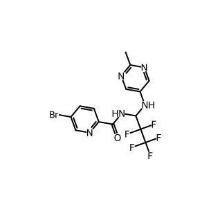 Cc1ncc(NC(NC(=O)c2ccc(Br)cn2)C(F)(F)C(F)(F)F)cn1